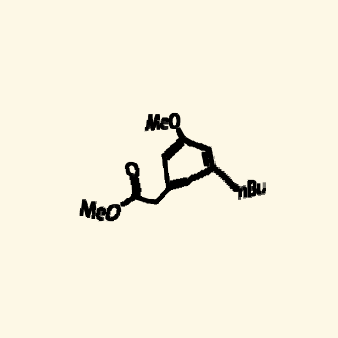 CCCCc1cc(CC(=O)OC)cc(OC)c1